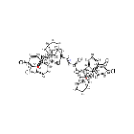 O=C(/C=C/C(=O)On1c(N2C3CCC2CC(Oc2ccc(Cl)c(Cl)c2)C3)nc2ccccc21)On1c(N2C3CCC2CC(Oc2ccc(Cl)c(Cl)c2)C3)nc2ccccc21